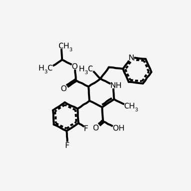 CC1=C(C(=O)O)C(c2cccc(F)c2F)C(C(=O)OC(C)C)C(C)(Cc2ccccn2)N1